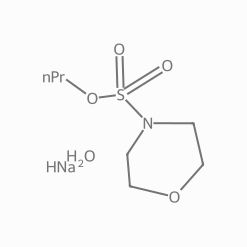 CCCOS(=O)(=O)N1CCOCC1.O.[NaH]